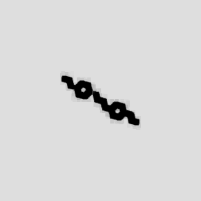 CC=CC1CCC(CCCC[C@H]2CC[C@H](CCC)CC2)CC1